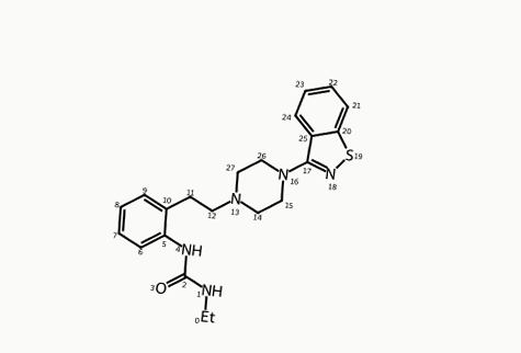 CCNC(=O)Nc1ccccc1CCN1CCN(c2nsc3ccccc23)CC1